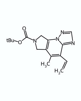 C=Cc1c(C)c2c(n3ncnc13)CN(C(=O)OC(C)(C)C)C2